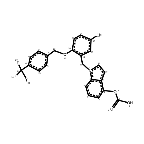 O=C(O)Oc1cccc2c1ccn2Cc1cc(Cl)ccc1OCc1ccc(C(F)(F)F)cc1